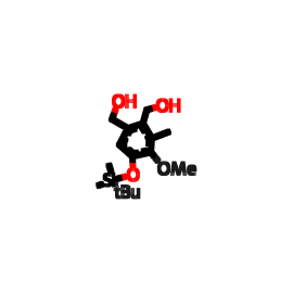 COc1c(O[Si](C)(C)C(C)(C)C)cc(CO)c(CO)c1C